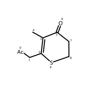 CC(=O)CC1=C(C)C(=O)CCS1